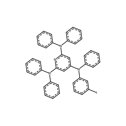 Ic1cccc(N(c2ccccc2)c2cc(N(c3ccccc3)c3ccccc3)nc(N(c3ccccc3)c3ccccc3)c2)c1